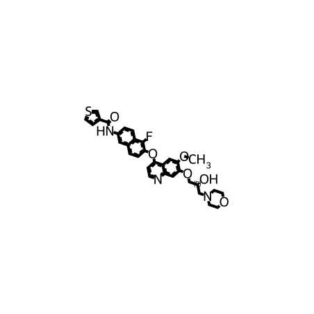 COc1cc2c(Oc3ccc4cc(NC(=O)c5ccsc5)ccc4c3F)ccnc2cc1OC[C@H](O)CN1CCOCC1